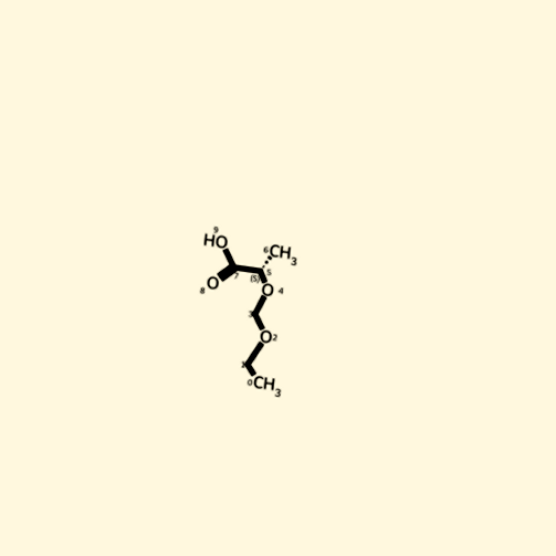 CCOCO[C@@H](C)C(=O)O